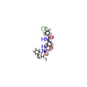 Cc1ccccc1CNC(=O)C1COc2ccc(NC(=O)c3ccc(Cl)cc3)cc2C1